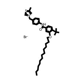 CCCCCCCCCCCCCCOc1cc(C(=O)Nc2ccc(C[n+]3csc(C)c3)cc2)ccc1C(C)(C)C.[Br-]